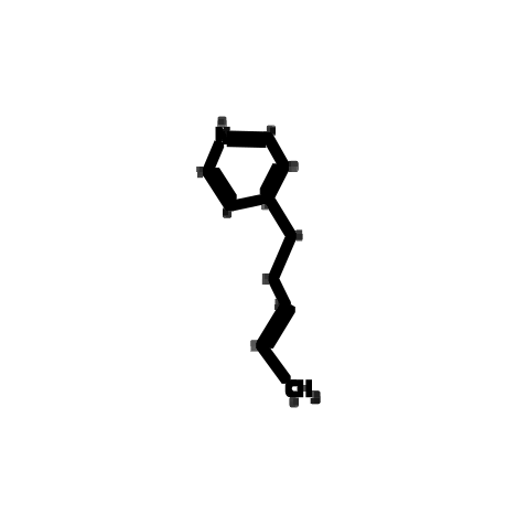 C/C=C/CCc1ccncc1